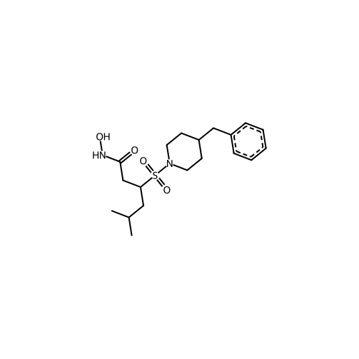 CC(C)CC(CC(=O)NO)S(=O)(=O)N1CCC(Cc2ccccc2)CC1